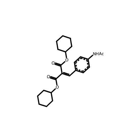 CC(=O)Nc1ccc(C=C(C(=O)OC2CCCCC2)C(=O)OC2CCCCC2)cc1